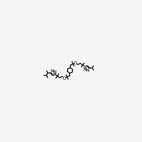 CC(C)c1cn(C(C)(C)CCOC(C)(C)CC2CCC(CC(C)(C)OCCC(C)(C)n3cc(C(C)C(C)C)nn3)CC2)nn1